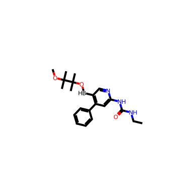 CCNC(=O)Nc1cc(-c2ccccc2)c(BOC(C)(C)C(C)(C)OC)cn1